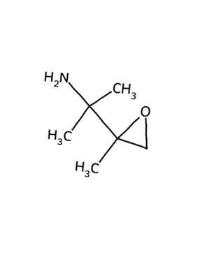 CC(C)(N)C1(C)CO1